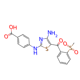 CS(=O)(=O)c1ccccc1C(=O)c1sc(Nc2ccc(C(=O)O)cc2)nc1N